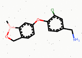 CB1OCc2ccc(Oc3ccc(CN)cc3Cl)cc21